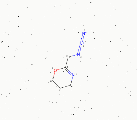 [N-]=[N+]=NCC1=NCCCO1